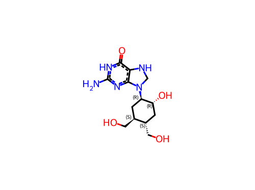 Nc1nc2c(c(=O)[nH]1)NCN2[C@@H]1C[C@H](CO)[C@@H](CO)C[C@H]1O